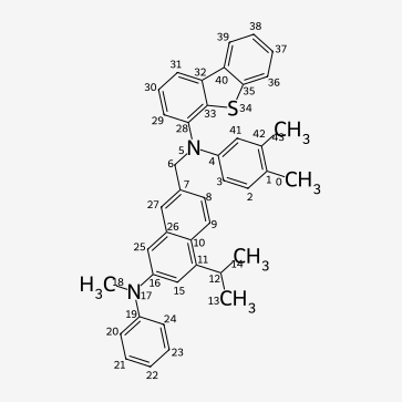 Cc1ccc(N(Cc2ccc3c(C(C)C)cc(N(C)c4ccccc4)cc3c2)c2cccc3c2sc2ccccc23)cc1C